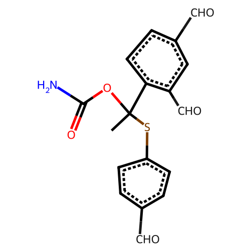 CC(OC(N)=O)(Sc1ccc(C=O)cc1)c1ccc(C=O)cc1C=O